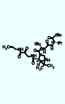 C=CCNC(=O)C(=O)CNC(=O)[C@@H]1[C@@H]2[C@H](CN1C(=O)[C@@H](NC(=O)N[C@H](C(=O)C(C)(C)C)C(C)C)C(C)(C)C)C2(C)C